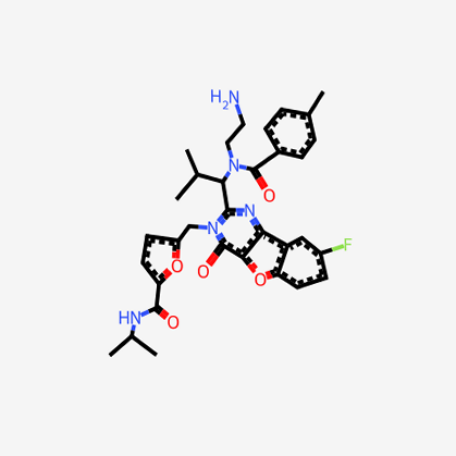 Cc1ccc(C(=O)N(CCN)C(c2nc3c(oc4ccc(F)cc43)c(=O)n2Cc2ccc(C(=O)NC(C)C)o2)C(C)C)cc1